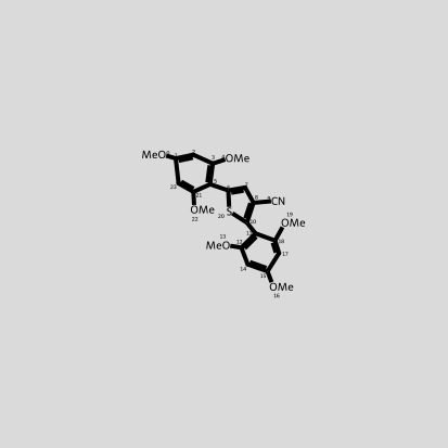 COc1cc(OC)c(-c2cc(C#N)c(-c3c(OC)cc(OC)cc3OC)s2)c(OC)c1